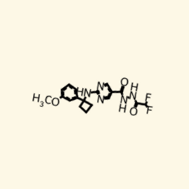 COc1cccc(C2(Nc3ncc(C(=O)NNC(=O)C(F)F)cn3)CCC2)c1